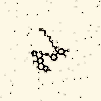 COCCCNCC1(c2ccccc2)C=C(F)C(Cl)=CC1.Cn1cc2c(n1)COc1c-2cc(C(N)=O)c(-c2ccoc2)c1F.O=CO